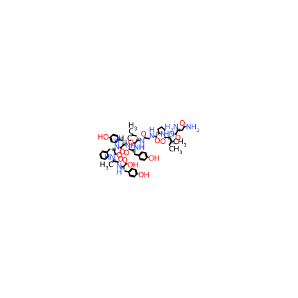 CC[C@H](C)[C@H](NC(=O)[C@@H](N)CC(N)=O)C(=O)N1CCC[C@H]1C(=O)NCC(=O)N[C@@H](CC(C)C)C(=O)N[C@@H](Cc1ccc(O)cc1)C(=O)N[C@@H](Cc1ccc(O)cc1)C(=O)N[C@@H](Cc1ccccc1)C(=O)N[C@@H](C)C(=O)N[C@@H](Cc1ccc(O)cc1)C(=O)O